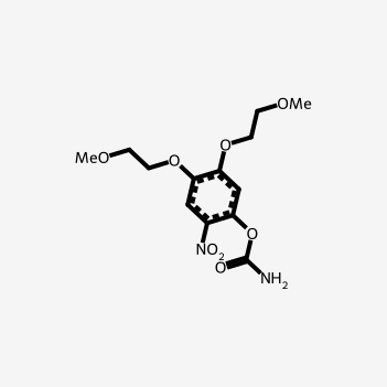 COCCOc1cc(OC(N)=O)c([N+](=O)[O-])cc1OCCOC